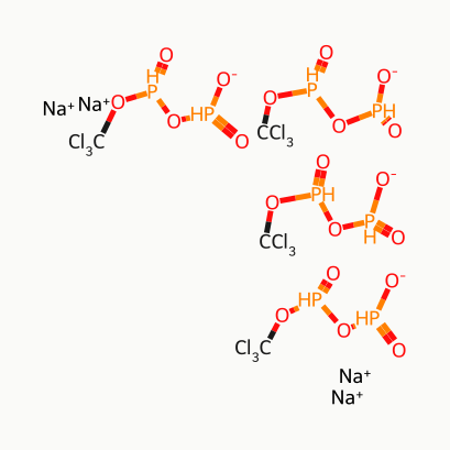 O=[PH]([O-])O[PH](=O)OC(Cl)(Cl)Cl.O=[PH]([O-])O[PH](=O)OC(Cl)(Cl)Cl.O=[PH]([O-])O[PH](=O)OC(Cl)(Cl)Cl.O=[PH]([O-])O[PH](=O)OC(Cl)(Cl)Cl.[Na+].[Na+].[Na+].[Na+]